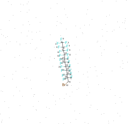 FC(F)(F)C(F)(F)C(F)(F)C(F)(F)C(F)(F)C(F)(F)C(F)(F)C(F)(F)C(F)(F)C(F)(F)CBr